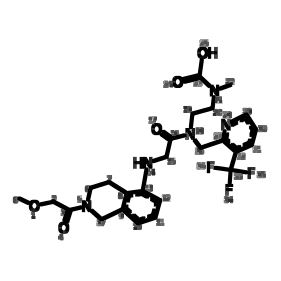 COCC(=O)N1CCc2c(cccc2NCC(=O)N(CCN(C)C(=O)O)Cc2ncccc2C(F)(F)F)C1